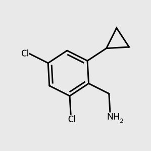 NCc1c(Cl)cc(Cl)cc1C1CC1